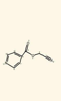 N#CCOC(=O)c1ccncc1